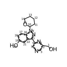 OCc1cncc(-c2nn(C3CCCCO3)c3ccc(O)cc23)n1